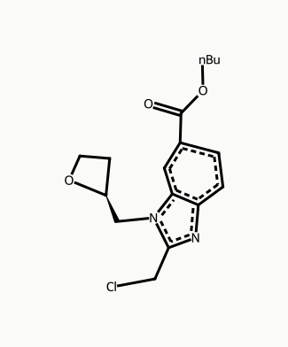 CCCCOC(=O)c1ccc2nc(CCl)n(C[C@@H]3CCO3)c2c1